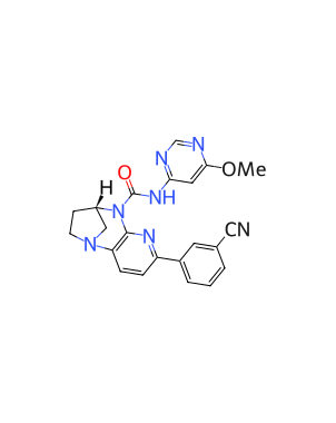 COc1cc(NC(=O)N2c3nc(-c4cccc(C#N)c4)ccc3N3CC[C@H]2C3)ncn1